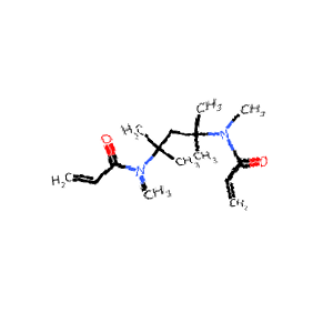 C=CC(=O)N(C)C(C)(C)CC(C)(C)N(C)C(=O)C=C